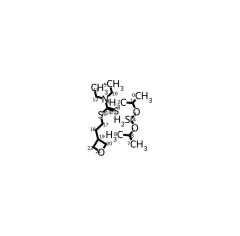 CC(C)O[SiH2]OC(C)C.CCN(CC)C(=S)SCCC1COC1